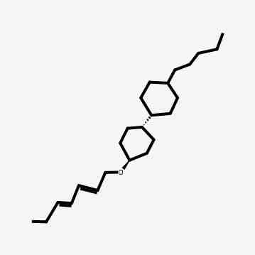 CC/C=C/C=C/CO[C@H]1CC[C@H](C2CCC(CCCCC)CC2)CC1